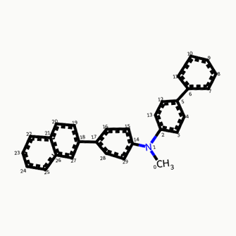 CN(c1ccc(-c2ccccc2)cc1)c1ccc(-c2ccc3ccccc3c2)cc1